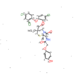 O=C(COc1ccc(O)cc1)NC1C(=O)N2CC(COc3cc(Cl)ccc3Oc3ccc(Cl)cc3Cl)(C(=O)O)CS[C@H]12